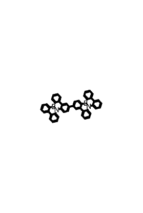 c1ccc2c(c1)B1c3ccc(-c4ccc5c(c4)-c4ccccc4B4c6ccccc6-c6ccccc6N45)cc3-c3ccccc3N1c1ccccc1-2